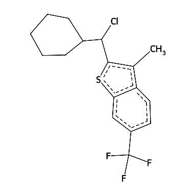 Cc1c(C(Cl)C2CCCCC2)sc2cc(C(F)(F)F)ccc12